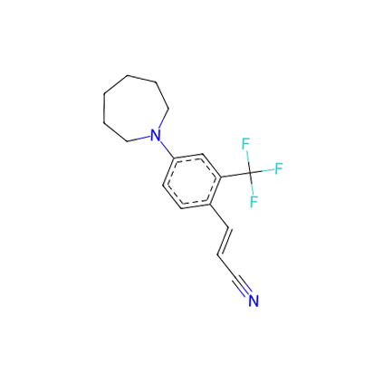 N#C/C=C/c1ccc(N2CCCCCC2)cc1C(F)(F)F